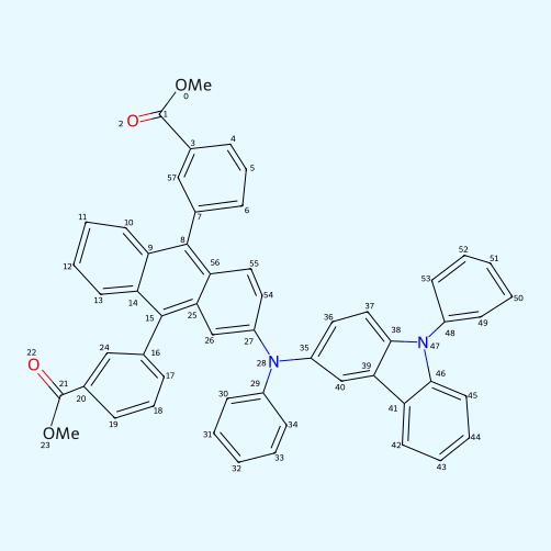 COC(=O)c1cccc(-c2c3ccccc3c(-c3cccc(C(=O)OC)c3)c3cc(N(c4ccccc4)c4ccc5c(c4)c4ccccc4n5-c4ccccc4)ccc23)c1